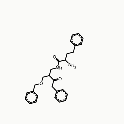 NC(CCc1ccccc1)C(=O)NCC(COCc1ccccc1)C(=O)Cc1ccccc1